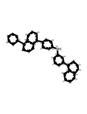 c1ccc(-c2cccc3c(-c4ccc(Nc5cccc(-c6cccc7ccccc67)c5)cc4)cccc23)cc1